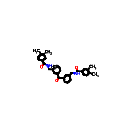 C=C(/C=C(\C=C/C)C(=O)c1cccc(CNC(=O)c2ccc(C)c(C)c2)c1)CNC(=O)c1ccc(C)c(C)c1